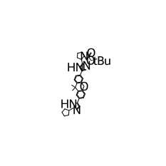 CC(C)(C)OC(=O)N1CCCC1c1ncc(-c2ccc3c(c2)Oc2ccc(-c4cnc(C5CCCC5)[nH]4)cc2C3(C)C)[nH]1